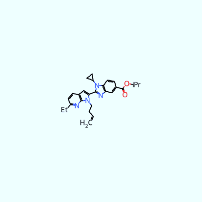 C=CCCn1c(-c2nc3cc(C(=O)OC(C)C)ccc3n2C2CC2)cc2ccc(CC)nc21